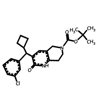 CC(C)(C)OC(=O)N1CCc2[nH]c(=O)c(C(c3cccc(Cl)c3)C3CCC3)cc2C1